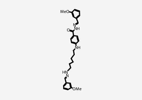 COc1cccc(C=NNCCCCC[CH]Nc2ccc(C(=O)NN=Cc3cccc(OC)c3)cc2)c1